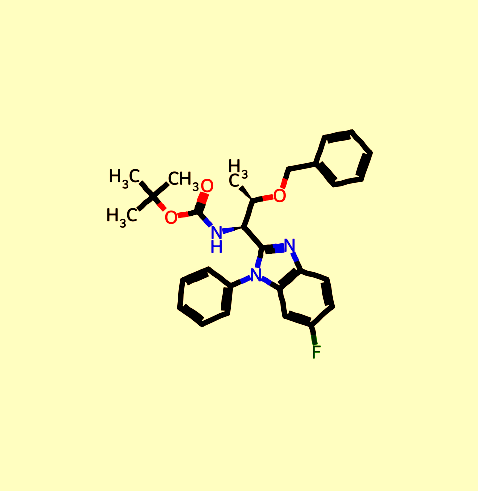 C[C@@H](OCc1ccccc1)[C@H](NC(=O)OC(C)(C)C)c1nc2ccc(F)cc2n1-c1ccccc1